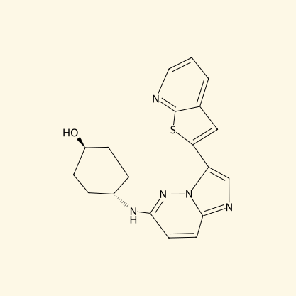 O[C@H]1CC[C@H](Nc2ccc3ncc(-c4cc5cccnc5s4)n3n2)CC1